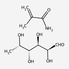 C=C(C)C(N)=O.C[C@H](O)[C@@H](O)[C@@H](O)[C@H](O)C=O